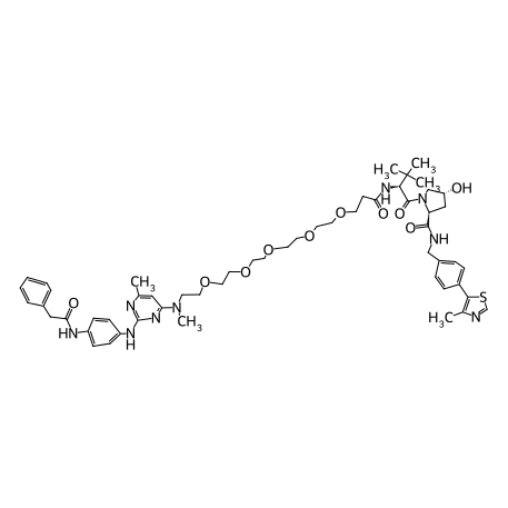 Cc1cc(N(C)CCOCCOCCOCCOCCOCCC(=O)N[C@H](C(=O)N2C[C@H](O)C[C@H]2C(=O)NCc2ccc(-c3scnc3C)cc2)C(C)(C)C)nc(Nc2ccc(NC(=O)Cc3ccccc3)cc2)n1